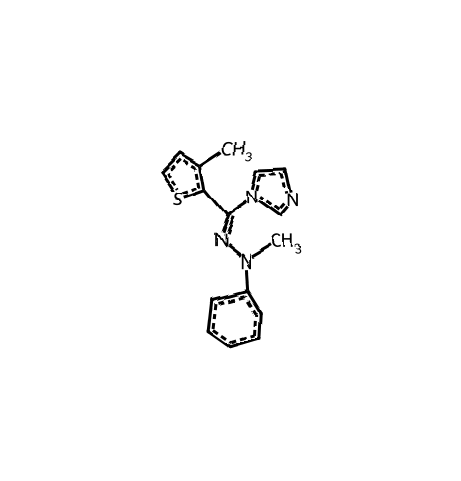 Cc1ccsc1C(=NN(C)c1ccccc1)n1ccnc1